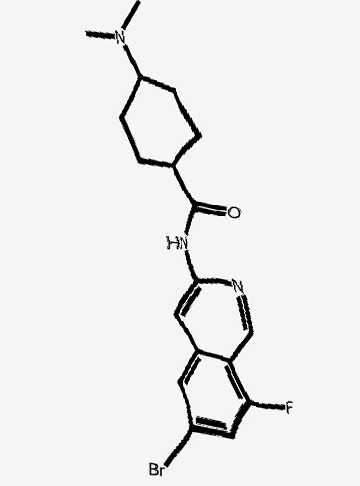 CN(C)C1CCC(C(=O)Nc2cc3cc(Br)cc(F)c3cn2)CC1